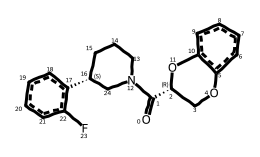 O=C([C@H]1COc2ccccc2O1)N1CCC[C@@H](c2ccccc2F)C1